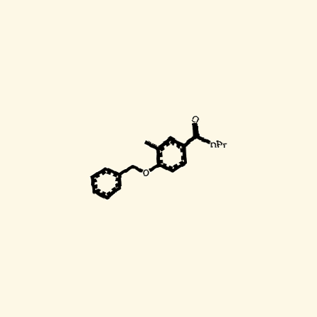 CCCC(=O)c1ccc(OCc2ccccc2)c(C)c1